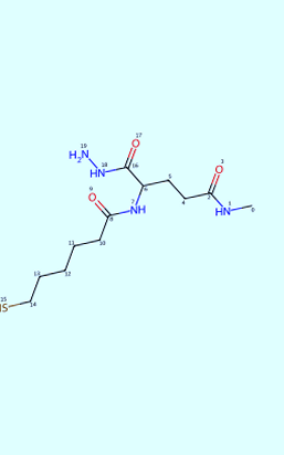 CNC(=O)CCC(NC(=O)CCCCCS)C(=O)NN